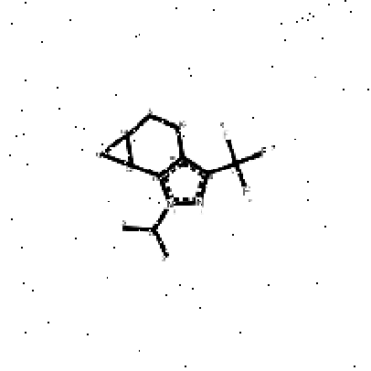 CC(C)n1nc(C(F)(F)F)c2c1C1CC1CC2